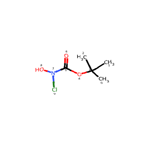 CC(C)(C)OC(=O)N(O)Cl